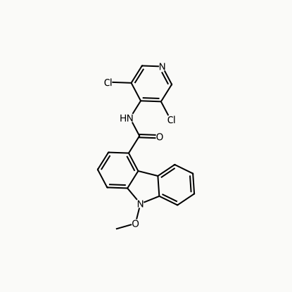 COn1c2ccccc2c2c(C(=O)Nc3c(Cl)cncc3Cl)cccc21